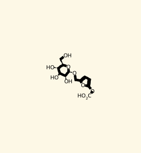 O=C(O)Oc1ccc(CO[C@H]2O[C@H](CO)[C@@H](O)[C@H](O)[C@H]2O)o1